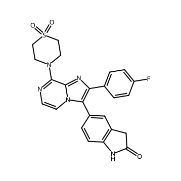 O=C1Cc2cc(-c3c(-c4ccc(F)cc4)nc4c(N5CCS(=O)(=O)CC5)nccn34)ccc2N1